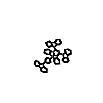 c1ccc([Si](c2ccccc2)(c2ccc(-n3c4ccccc4c4ccccc43)cc2)c2cc(-n3c4ccccc4c4ccccc43)nc(-n3c4ccccc4c4ccccc43)n2)cc1